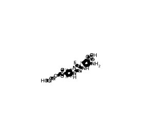 Nc1cc(Nc2nc(F)nc(Nc3ccc(S(=O)(=O)CCOSOOO)cc3)n2)ccc1S(=O)(=O)O